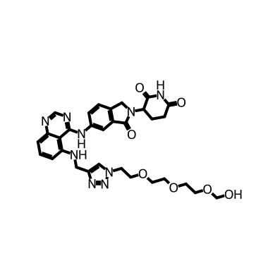 O=C1CCC(N2Cc3ccc(Nc4ncnc5cccc(NCc6cn(CCOCCOCCOCO)nn6)c45)cc3C2=O)C(=O)N1